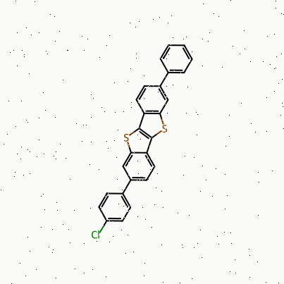 Clc1ccc(-c2ccc3c(c2)sc2c4ccc(-c5ccccc5)cc4sc32)cc1